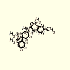 Cc1ncc(N2C[C@]3(CC[C@](c4ccccc4)(N(C)C)CC3)NC2=O)c(C)n1